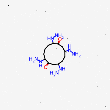 NNC1CCC(NN)CC(=O)C(NN)CCCC(NN)C(=O)C1